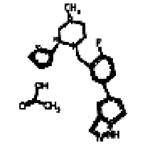 CC(=O)O.CN1CCN(Cc2cc(-c3ccc4[nH]ncc4c3)ccc2F)[C@@H](c2cccs2)C1